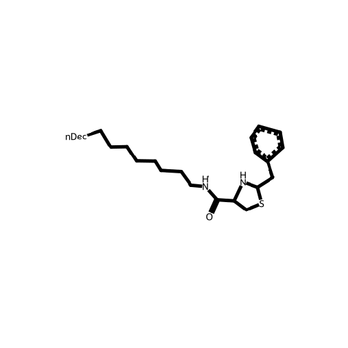 CCCCCCCCCCCCCCCCCCNC(=O)C1CSC(Cc2ccccc2)N1